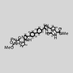 COC(=O)NC(C(=O)N1CCCC1c1ncc(-c2ccc(-c3ccc(-c4cnc(C5CCC6C(C(=O)OC)NCC(=O)N56)[nH]4)cc3)cc2)[nH]1)C(C)C